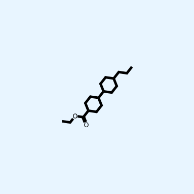 CCCC1CCC(C2CCC(C(=O)OCC)CC2)CC1